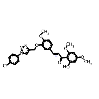 COc1cc(O)c(C(=O)/C=C/c2ccc(OC)c(OCc3cn(-c4ccc(Cl)cc4)nn3)c2)c(OC)c1